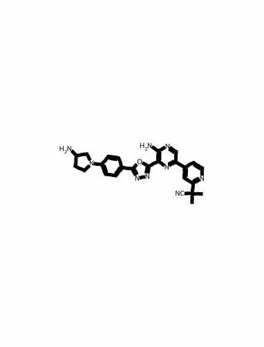 CC(C)(C#N)c1cc(-c2cnc(N)c(-c3nnc(-c4ccc(N5CCC(N)C5)cc4)o3)n2)ccn1